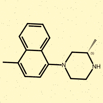 Cc1ccc(N2CCN[C@@H](C)C2)c2ccccc12